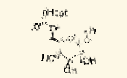 CCCCCCCC(=O)OC[C@H]1O[C@H](OC(C)C)[C@H](O)[C@@H](O)[C@@H]1O